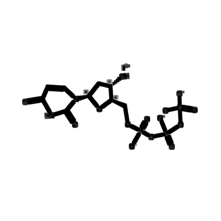 O=c1ccn([C@H]2C[C@H](O)[C@@H](COP(=O)([O-])OP(=O)([O-])OP(=O)([O-])[O-])O2)c(=O)[nH]1.[I+4]